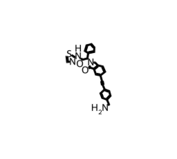 NCc1ccc(C#Cc2ccc3c(c2)C(=O)N(C(C(=O)Nc2nccs2)c2ccccc2)C3)cc1